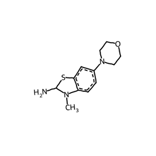 CN1c2ccc(N3CCOCC3)cc2SC1N